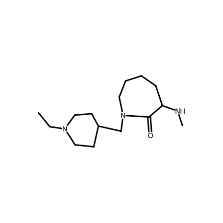 CCN1CCC(CN2CCCCC(NC)C2=O)CC1